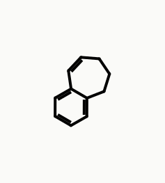 C1=Cc2ccccc2CCC1